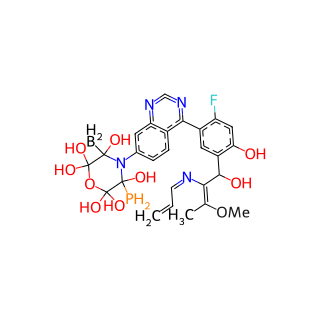 BC1(O)N(c2ccc3c(-c4cc(C(O)C(/N=C\C=C)=C(/C)OC)c(O)cc4F)ncnc3c2)C(O)(P)C(O)(O)OC1(O)O